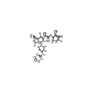 CCn1cc(C)c2c(-c3ccc(CN4CCOCC4)cc3)cc(C(=O)NCc3c(C)cc(C)[nH]c3=O)c(C)c21